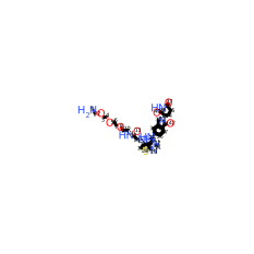 NCOCCOCCOCCNC(=O)CNc1csc2ncnc(Nc3ccc4c(c3)CN(C3CCC(=O)NC3=O)C4=O)c12